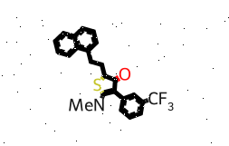 CNC1=C(c2cccc(C(F)(F)F)c2)C(=O)C(CCc2cccc3ccccc23)S1